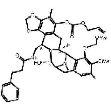 C=CCOC(=O)Oc1c(C)c2c(c3c1C[C@H]1C4c5c(cc(C)c(OC)c5OCOC)CC([C@H](O)N1[C@H]3CNC(=O)CCc1ccccc1)N4C)OCO2